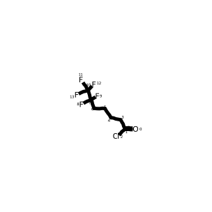 O=C(Cl)CCCCC(F)(F)C(F)(F)F